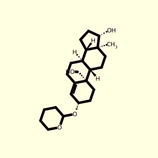 C[C@]12CC[C@H]3[C@@H](CCC4=C[C@@H](OC5CCCCO5)CC[C@@]43CO)[C@@H]1CC[C@@H]2O